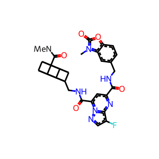 CNC(=O)C12C3C4C1C1C2C3C41CNC(=O)c1cc(C(=O)NCc2ccc3oc(=O)n(C)c3c2)nc2c(F)cnn12